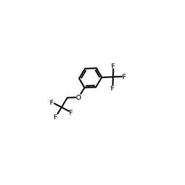 FC(F)(F)COc1cccc(C(F)(F)F)c1